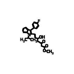 COC(=O)CC(=O)CC(O)/C=C/c1c(-c2ccc(F)cc2)c2ccccc2n1C(C)C